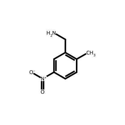 Cc1ccc([N+](=O)[O-])cc1CN